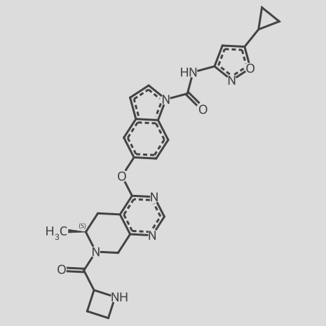 C[C@H]1Cc2c(ncnc2Oc2ccc3c(ccn3C(=O)Nc3cc(C4CC4)on3)c2)CN1C(=O)C1CCN1